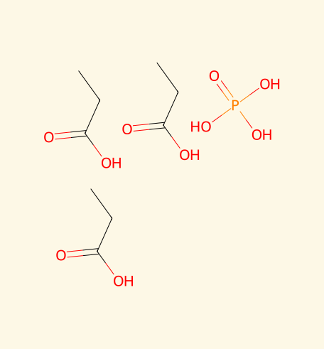 CCC(=O)O.CCC(=O)O.CCC(=O)O.O=P(O)(O)O